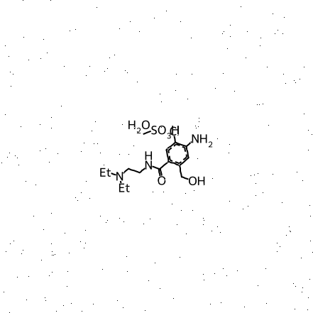 CCN(CC)CCNC(=O)c1cc(Cl)c(N)cc1CO.CS(=O)(=O)O.O